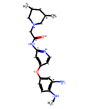 CNc1ccc(Oc2ccnc(NC(=O)CN3CC(C)CC(C)C3)c2)cc1N